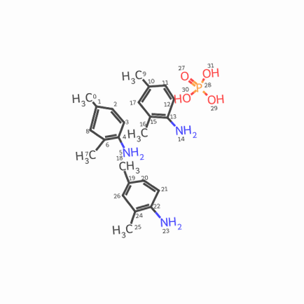 Cc1ccc(N)c(C)c1.Cc1ccc(N)c(C)c1.Cc1ccc(N)c(C)c1.O=P(O)(O)O